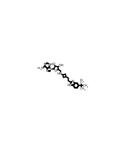 CC(C)(C)c1ccc2[nH]c(CCC3CC(NCC4OC(n5cnc6c(N)ncnc65)C(O)C4O)C3)nc2c1